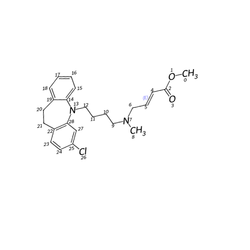 COC(=O)/C=C/CN(C)CCCCN1c2ccccc2CCc2ccc(Cl)cc21